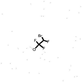 [O]C(F)(F)C(F)Br